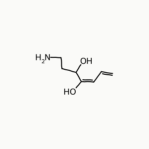 C=C/C=C(/O)C(O)CCN